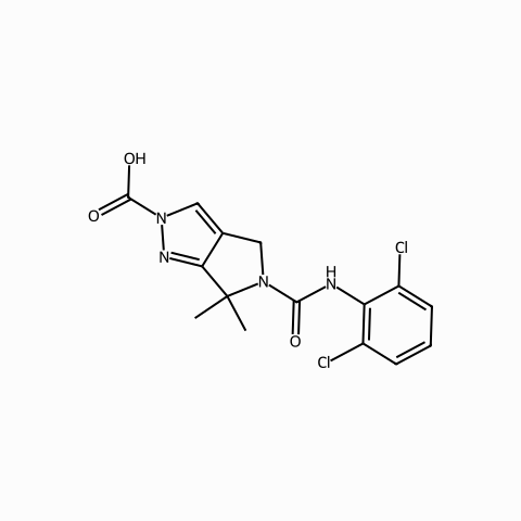 CC1(C)c2nn(C(=O)O)cc2CN1C(=O)Nc1c(Cl)cccc1Cl